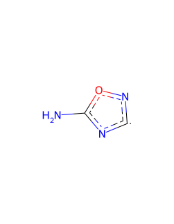 Nc1n[c]no1